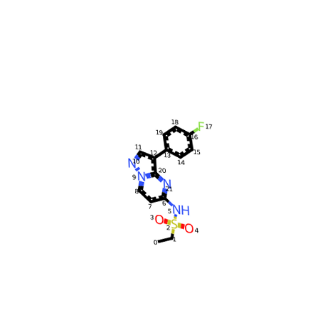 CCS(=O)(=O)Nc1ccn2ncc(-c3ccc(F)cc3)c2n1